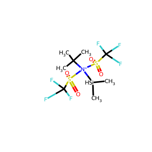 C[SiH](C)[N+](C(C)(C)C)(S(=O)(=O)C(F)(F)F)S(=O)(=O)C(F)(F)F